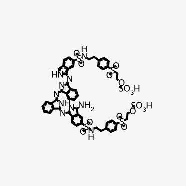 NC1N=C(/N=C2\N/C(=N\C3=NC(=N\c4[nH]cc5ccc(S(=O)(=O)NCCc6ccc(S(=O)(=O)CCOS(=O)(=O)O)cc6)cc45)/c4ccccc43)c3ccccc32)c2ccc(S(=O)(=O)NCCc3ccc(S(=O)(=O)CCOS(=O)(=O)O)cc3)cc21